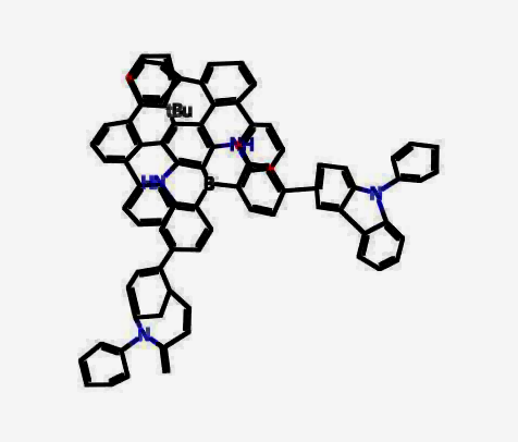 C=C1C=CC2CC(=CC=C2c2ccc3c(c2)Nc2c4c(c(-c5c(-c6ccccc6)cccc5-c5ccccc5)c(C(C)(C)C)c2-c2c(-c5ccccc5)cccc2-c2ccccc2)Nc2cc(-c5ccc6c(c5)c5ccccc5n6-c5ccccc5)ccc2B34)N1c1ccccc1